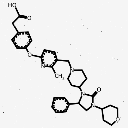 Cc1nc(Oc2ccc(CC(=O)O)cc2)ccc1CN1CCC(N2C(=O)N(C3CCOCC3)CC2c2ccccc2)CC1